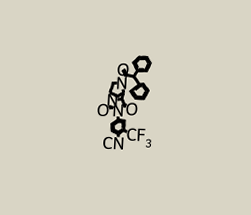 N#Cc1ccc(N2C(=O)C3C4CC(CN4C(=O)C(c4ccccc4)c4ccccc4)N3C2=O)cc1C(F)(F)F